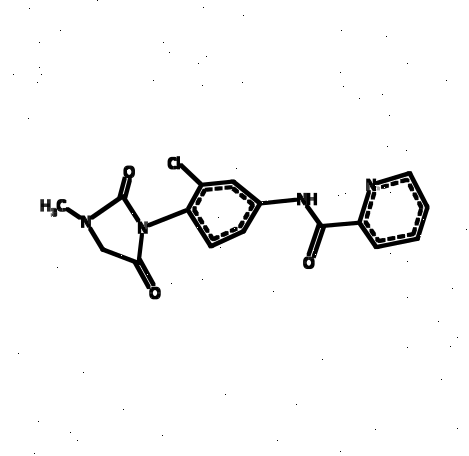 CN1CC(=O)N(c2ccc(NC(=O)c3ccccn3)cc2Cl)C1=O